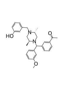 COc1cccc(C(c2cccc(C(C)=O)c2)N2C[C@@H](C)N(Cc3cccc(O)c3)C[C@@H]2C)c1